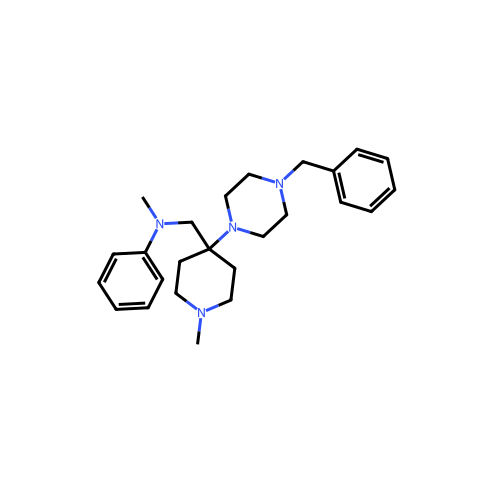 CN1CCC(CN(C)c2ccccc2)(N2CCN(Cc3ccccc3)CC2)CC1